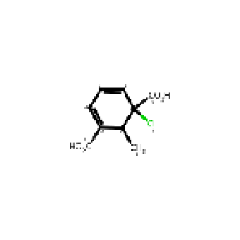 CC1C(C(=O)O)=CC=CC1(Cl)C(=O)O